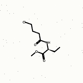 CC[C@H](NC(=O)CCCCl)C(=O)OC